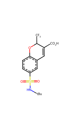 CC(C)(C)NS(=O)(=O)c1ccc2c(c1)C=C(C(=O)O)C(C(F)(F)F)O2